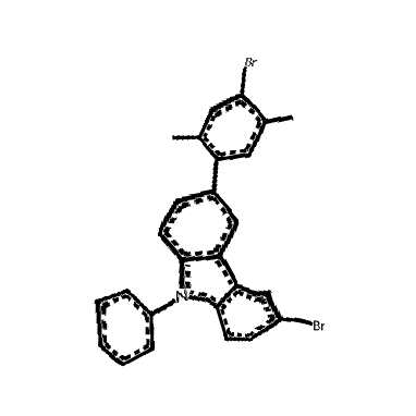 Cc1cc(-c2ccc3c(c2)c2cc(Br)ccc2n3-c2ccccc2)c(C)cc1Br